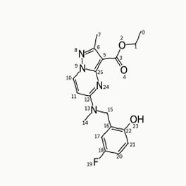 CCOC(=O)c1c(C)nn2ccc(N(C)Cc3cc(F)ccc3O)nc12